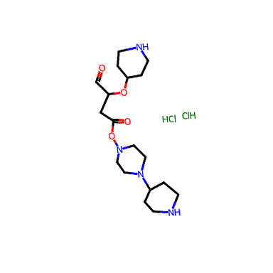 Cl.Cl.O=CC(CC(=O)ON1CCN(C2CCNCC2)CC1)OC1CCNCC1